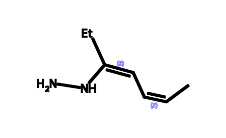 C/C=C\C=C(\CC)NN